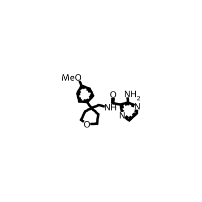 COc1ccc(C2(CNC(=O)c3nccnc3N)CCOCC2)cc1